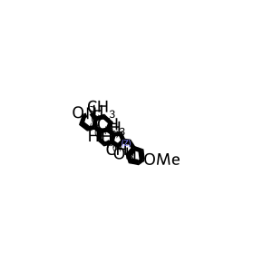 COc1cccc(/C=C2/C[C@H]3[C@@H]4CC[C@H]5N(C)C(=O)C=C[C@]5(C)[C@H]4CC[C@]3(C)[C@H]2O)c1